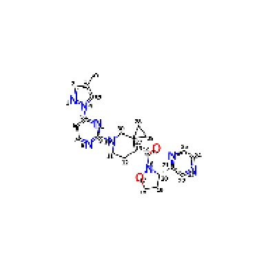 Cc1cnn(-c2ccnc(N3CC[C@@H](C(=O)N4OCC[C@H]4c4cnccn4)C4(CC4)C3)n2)c1